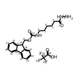 NNC(=O)CCCCCNC(=O)OCC1c2ccccc2-c2ccccc21.O=C(O)C(F)(F)F